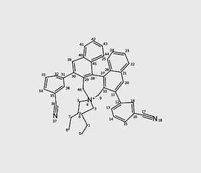 CCCC[N+]1(CCCC)Cc2c(-c3cccc(C#N)c3)cc3ccccc3c2-c2c(c(-c3cccc(C#N)c3)cc3ccccc23)C1